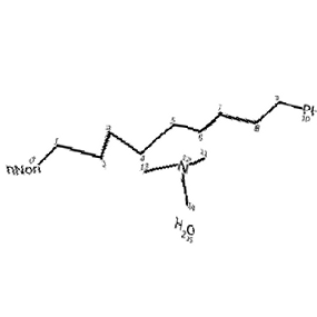 CCCCCCCCCCCCCCCCCCP.CN(C)C.O